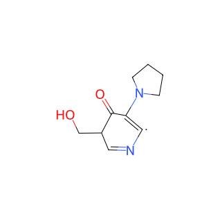 O=C1C(N2CCCC2)=[C]N=CC1CO